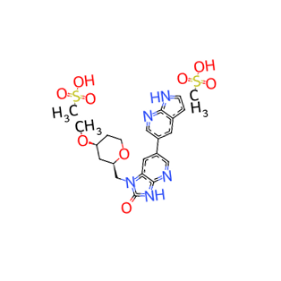 CO[C@H]1CCO[C@@H](Cn2c(=O)[nH]c3ncc(-c4cnc5[nH]ccc5c4)cc32)C1.CS(=O)(=O)O.CS(=O)(=O)O